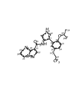 O=C(Nc1c[nH]nc1-c1cc(SCC(F)(F)F)ccc1OC(F)F)c1cnn2cccnc12